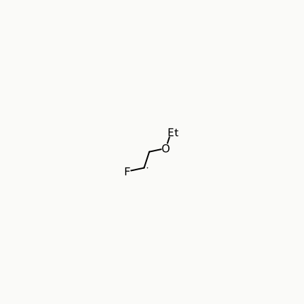 CCOC[CH]F